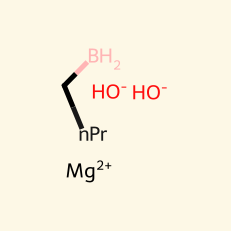 BCCCC.[Mg+2].[OH-].[OH-]